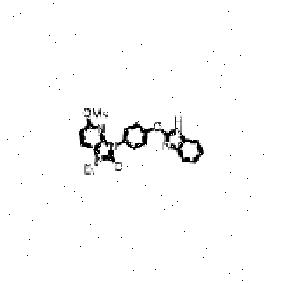 CCn1c(=O)n(-c2ccc(Oc3nc4ccccc4[nH]3)cc2)c2nc(OC)ccc21